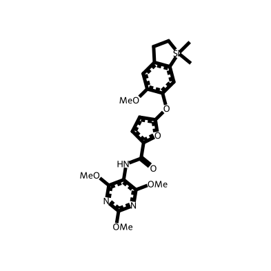 COc1nc(OC)c(NC(=O)c2ccc(Oc3cc4c(cc3OC)CC[Si]4(C)C)o2)c(OC)n1